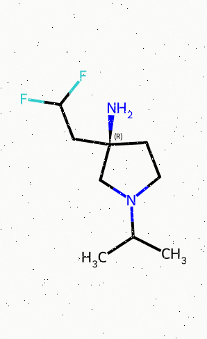 CC(C)N1CC[C@@](N)(CC(F)F)C1